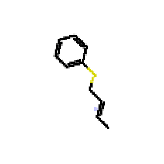 C/C=C/CSc1ccccc1